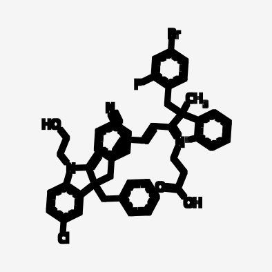 CC1(Cc2ccc(Br)cc2F)C(/C=C/C(C#N)=C/C=C2/N(CCO)c3ccc(Cl)cc3C2(Cc2ccccc2)Cc2ccccc2)=[N+](CCC(=O)O)c2ccccc21